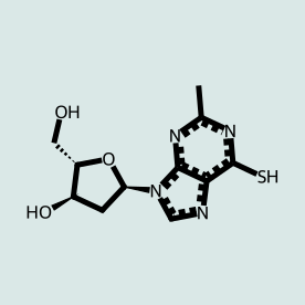 Cc1nc(S)c2ncn([C@H]3C[C@@H](O)[C@H](CO)O3)c2n1